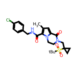 Cc1cc2n(c1C(=O)NCc1ccc(Cl)cc1)CCN(CC1(S(=O)(=O)C(C)(C)C)CC1)C2=O